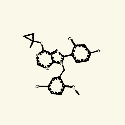 COc1ccc(Cl)cc1Cn1c(-c2ccc(Br)cc2Cl)nc2c(OC3(C)CC3)ncnc21